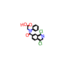 O=C(O)CN(C(=O)c1ccc2c(Cl)cnc(Cl)c2c1)c1ccccc1